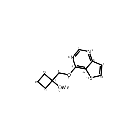 COC1(COc2ncnc3ccsc23)CCC1